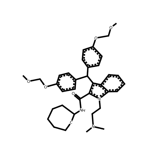 COCOc1ccc(C(c2ccc(OCOC)cc2)c2c(C(=O)NC3CCCCCC3)n(CCN(C)C)c3ccccc23)cc1